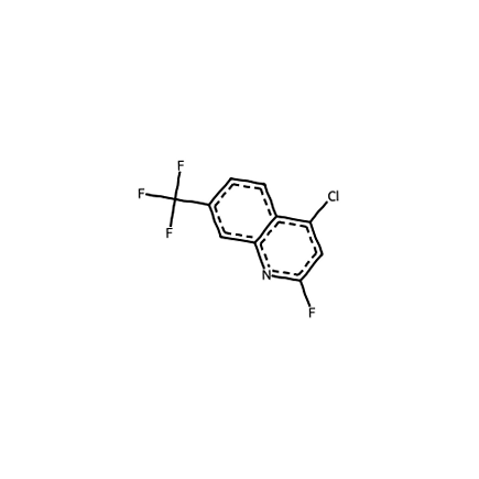 Fc1cc(Cl)c2ccc(C(F)(F)F)cc2n1